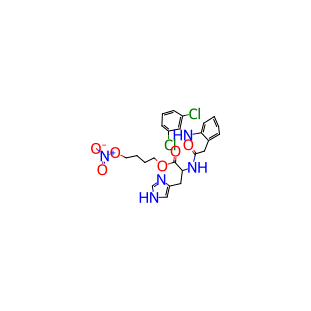 O=C(Cc1ccccc1Nc1c(Cl)cccc1Cl)NC(Cc1c[nH]cn1)C(=O)OCCCCO[N+](=O)[O-]